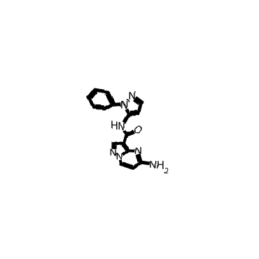 Nc1ccn2ncc(C(=O)Nc3ccnn3-c3ccccc3)c2n1